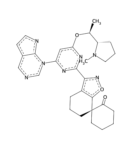 C[C@H](Oc1cc(-n2cncc3ccnc2-3)nc(-c2noc3c2CCC[C@@]32CCCCC2=O)n1)[C@@H]1CCCN1C